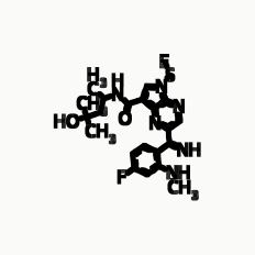 CNc1cc(F)ccc1C(=N)c1cnc2c(n1)c(C(=O)NC(C)CC(C)(C)O)cn2SF